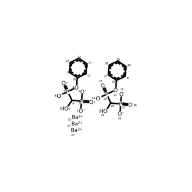 O=P([O-])([O-])C(O)P(=O)([O-])Oc1ccccc1.O=P([O-])([O-])C(O)P(=O)([O-])Oc1ccccc1.[Ba+2].[Ba+2].[Ba+2]